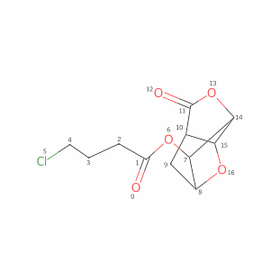 O=C(CCCCl)OC1C2CC3C(=O)OC1C3O2